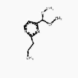 CCCc1nccc(C(OC)OC)n1